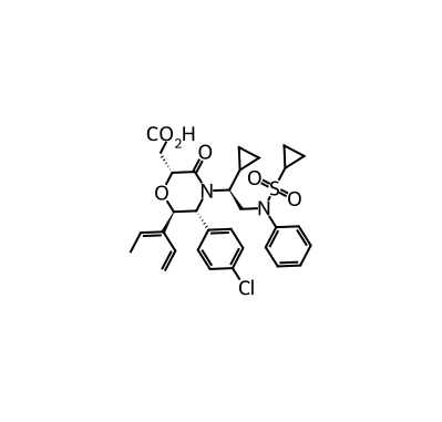 C=C/C(=C\C)[C@H]1O[C@H](CC(=O)O)C(=O)N([C@H](CN(c2ccccc2)S(=O)(=O)C2CC2)C2CC2)[C@@H]1c1ccc(Cl)cc1